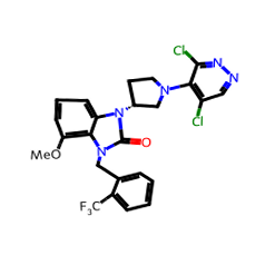 COc1cccc2c1n(Cc1ccccc1C(F)(F)F)c(=O)n2[C@@H]1CCN(c2c(Cl)cnnc2Cl)C1